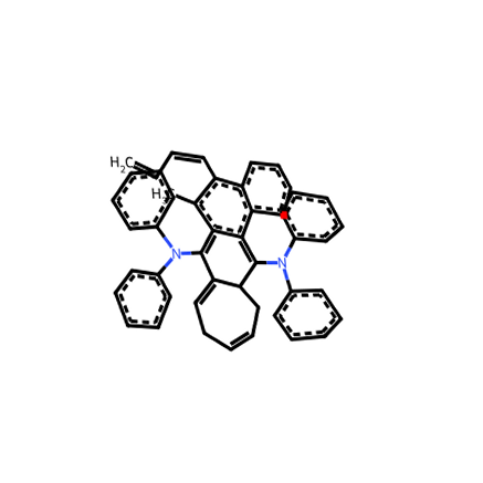 C=C/C=C\c1c(C)c2c(c3ccccc13)=C(N(c1ccccc1)c1ccccc1)C1CC=CCC=C1C=2N(c1ccccc1)c1ccccc1